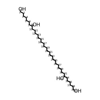 OCCCCCCCC(O)CCCCCCCCCCCCCCCCCCCCCCC(O)CCCCCCO